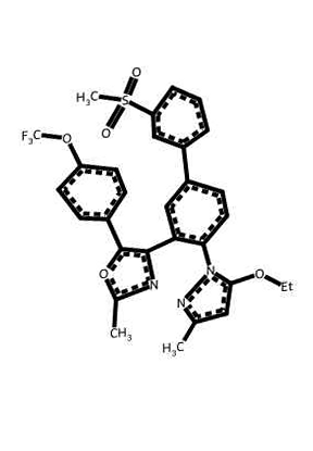 CCOc1cc(C)nn1-c1ccc(-c2cccc(S(C)(=O)=O)c2)cc1-c1nc(C)oc1-c1ccc(OC(F)(F)F)cc1